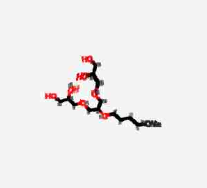 COCCCCOC(COCC(O)CO)COCC(O)CO